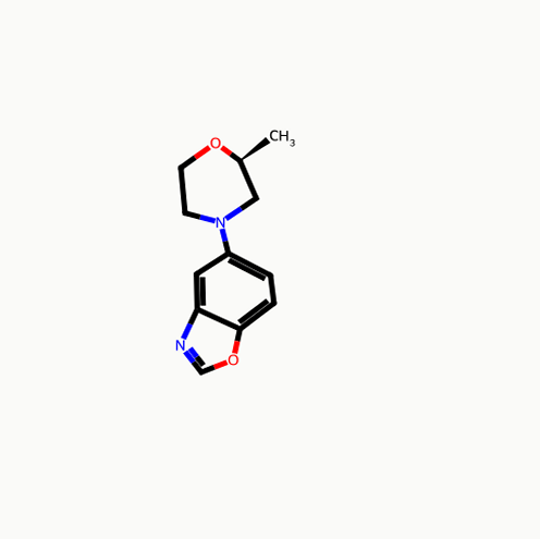 C[C@H]1CN(c2ccc3ocnc3c2)CCO1